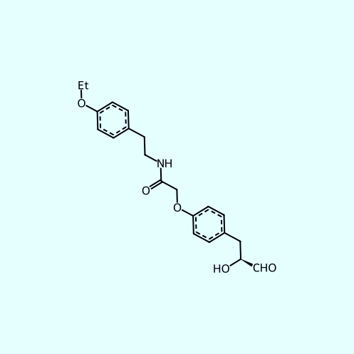 CCOc1ccc(CCNC(=O)COc2ccc(C[C@H](O)C=O)cc2)cc1